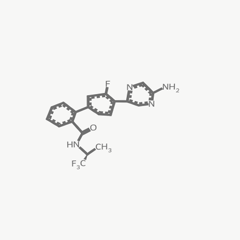 C[C@H](NC(=O)c1ccccc1-c1ccc(-c2cnc(N)cn2)c(F)c1)C(F)(F)F